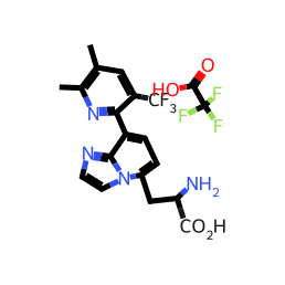 Cc1cc(C(F)(F)F)c(-c2ccc(CC(N)C(=O)O)n3ccnc23)nc1C.O=C(O)C(F)(F)F